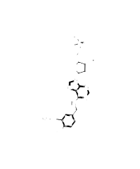 COc1cc(CNc2ncnc3c2ncn3[C@@H]2O[C@H](COP(=O)(O)O)[C@@H](O)[C@H]2O)ccc1O